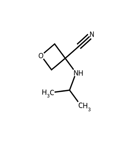 CC(C)NC1(C#N)COC1